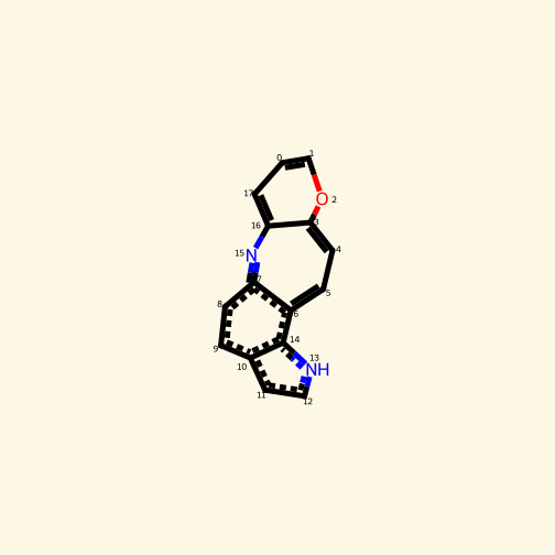 C1=COC2=CC=c3c(ccc4cc[nH]c34)=NC2=C1